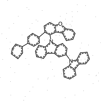 c1ccc(-c2ccc(-c3ccc4oc5ccccc5c4c3-n3c4ccccc4c4cc(-n5c6ccccc6c6ccccc65)ccc43)cc2)cc1